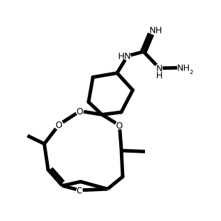 CC1C=C2CC(C2)CC(C)OC2(CCC(NC(=N)NN)CC2)OO1